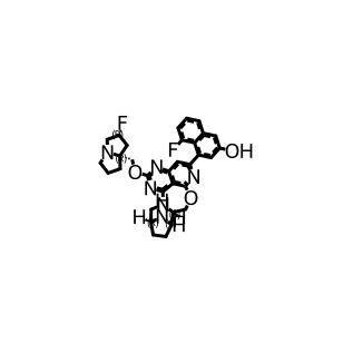 Oc1cc(-c2cc3nc(OC[C@]45CCCN4C[C@H](F)C5)nc4c3c(n2)OC[C@@H]2[C@@H]3CC[C@H](CN42)N3)c2c(F)cccc2c1